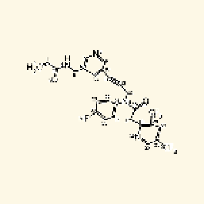 C=CC(=O)NCc1cncc(C#CCN(C(=O)Cc2ncc(C(F)(F)F)cc2C(F)(F)F)c2ccc(F)cc2)c1